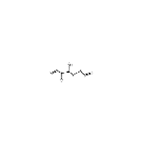 C=CC(=O)C(S)CCC=S